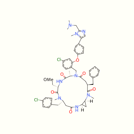 COC[C@@H]1NC(=O)[C@H](C)N(Cc2ccc(Cl)cc2Oc2ccc(-c3cnc(CN(C)C)n3C)cc2)C(=O)C[C@@H](Cc2ccccc2)C(=O)N(C)[C@H]2C[C@H]2NC(=O)C[C@H](Cc2ccc(Cl)cc2)N(C)C1=O